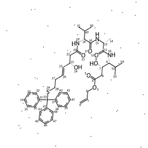 C=CCOC(=O)C[C@H](O)[C@H](NC(=O)[C@@H](C)NC(=O)[C@H](NC(=O)C[C@H](O)C=CCCSC(c1ccccc1)(c1ccccc1)c1ccccc1)C(C)C)C(C)C